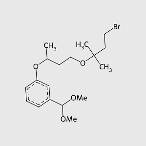 COC(OC)c1cccc(OC(C)CCOC(C)(C)CCBr)c1